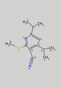 CSc1nc(C(C)C)cc(C(C)C)c1C#N